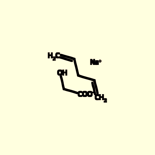 C=CCC=C.O=C([O-])CO.[Na+]